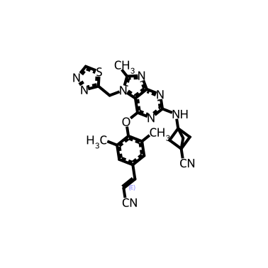 Cc1cc(/C=C/C#N)cc(C)c1Oc1nc(NC23CC(C#N)(C2)C3)nc2nc(C)n(Cc3nncs3)c12